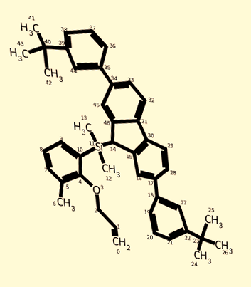 C=CCOc1c(C)cccc1[Si](C)(C)C1c2cc(-c3cccc(C(C)(C)C)c3)ccc2-c2ccc(-c3cccc(C(C)(C)C)c3)cc21